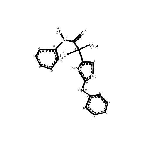 CCN(C(=O)C(C)(C(=O)O)c1csc(Nc2ccccc2)n1)c1ccccc1